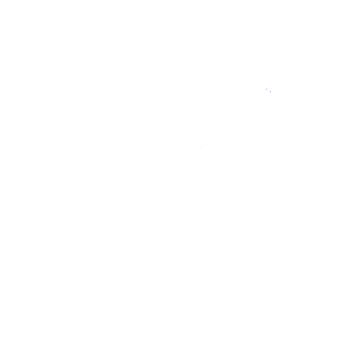 CCCCCCCCCCCC(=O)OCCNCCO